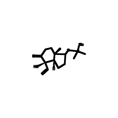 C=C[C@@]1(O)C(=O)CC[C@]2(C)C(O[Si](C)(C)C(C)(C)C)CC[C@@H]12